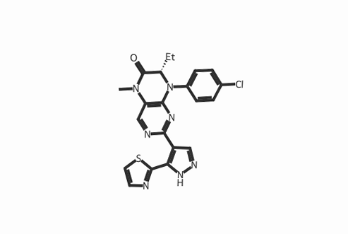 CC[C@H]1C(=O)N(C)c2cnc(-c3cn[nH]c3-c3nccs3)nc2N1c1ccc(Cl)cc1